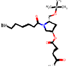 CNC(=O)CCC(=O)O[C@@H]1C[C@@H](CO[Si](C)(C)C)N(C(=O)CCCCCNC(C)=O)C1